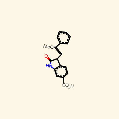 COC(=CC1C(=O)Nc2cc(C(=O)O)ccc21)c1ccccc1